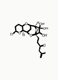 C=C(I)CC(Cl)CC[C@@]12OC3CC(OC4CCC(CC)O[C@@H]43)[C@H](O1)C(O)(O)C2O